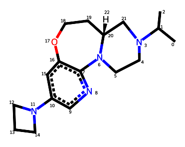 CC(C)N1CCN2c3ncc(N4CCC4)cc3OCC[C@@H]2C1